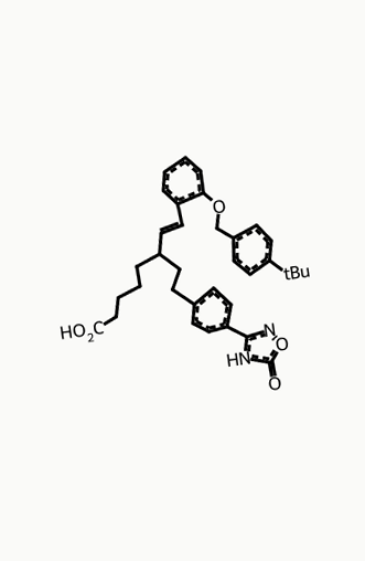 CC(C)(C)c1ccc(COc2ccccc2C=CC(CCCCC(=O)O)CCc2ccc(-c3noc(=O)[nH]3)cc2)cc1